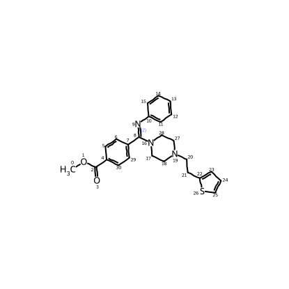 COC(=O)c1ccc(/C(=N/c2ccccc2)N2CCN(CCc3cccs3)CC2)cc1